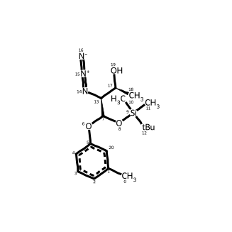 Cc1cccc(OC(O[Si](C)(C)C(C)(C)C)[C@@H](N=[N+]=[N-])[C@H](C)O)c1